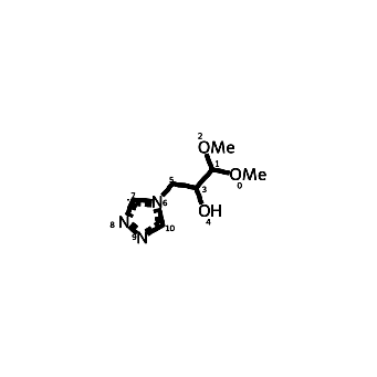 COC(OC)C(O)Cn1[c]nnc1